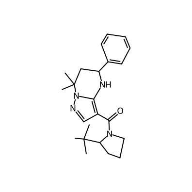 CC(C)(C)C1CCCN1C(=O)c1cnn2c1NC(c1ccccc1)CC2(C)C